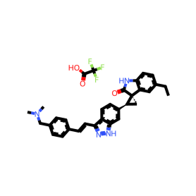 CCc1ccc2c(c1)[C@]1(C[C@H]1c1ccc3c(/C=C/c4ccc(CN(C)C)cc4)n[nH]c3c1)C(=O)N2.O=C(O)C(F)(F)F